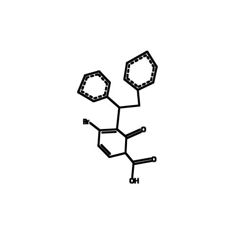 O=C(O)C1C=CC(Br)=C(C(Cc2ccccc2)c2ccccc2)C1=O